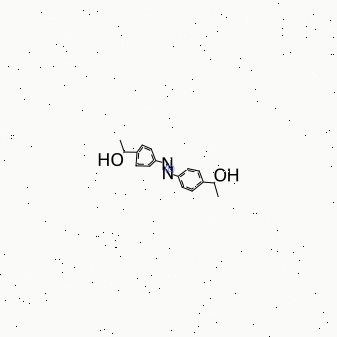 CC(O)c1ccc(/N=N/c2ccc(C(C)O)cc2)cc1